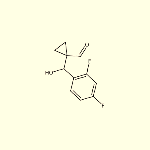 O=CC1(C(O)c2ccc(F)cc2F)CC1